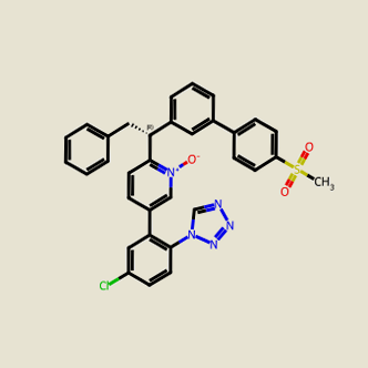 CS(=O)(=O)c1ccc(-c2cccc([C@@H](Cc3ccccc3)c3ccc(-c4cc(Cl)ccc4-n4cnnn4)c[n+]3[O-])c2)cc1